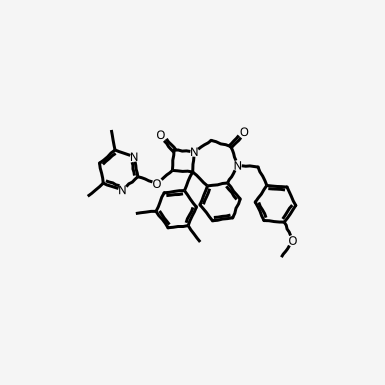 COc1ccc(CN2C(=O)CN3C(=O)C(Oc4nc(C)cc(C)n4)C3(c3cc(C)cc(C)c3)c3ccccc32)cc1